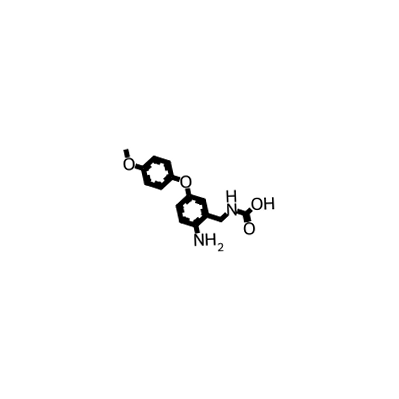 COc1ccc(Oc2ccc(N)c(CNC(=O)O)c2)cc1